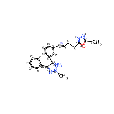 Cc1nnc(CC/C=C/c2cccc(C3NN(C)N=C3c3ccccc3)c2)o1